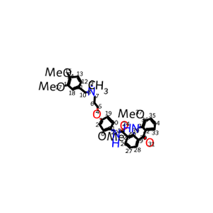 COc1cc(OCCCN(C)Cc2ccc(OC)c(OC)c2)ccc1NC(=O)c1cccc2c(=O)c3cccc(OC)c3[nH]c12